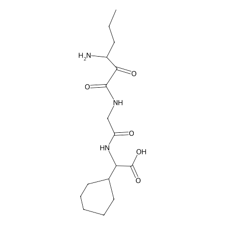 CCCC(N)C(=O)C(=O)NCC(=O)NC(C(=O)O)C1CCCCC1